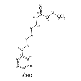 O=Cc1ccc(OCCCCCCS(=O)OCC(Cl)(Cl)Cl)cc1